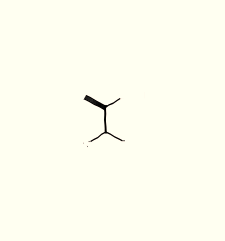 [C-]#[N+]C(CC)C(=C)C(=O)O